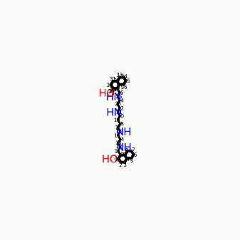 Oc1ccc2ccccc2c1CNCCCNCCCCNCCCNCc1c(O)ccc2ccccc12